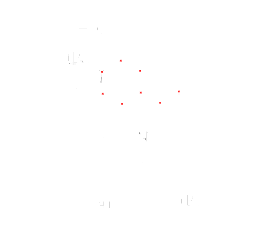 CC1C=Cc2cccc(-c3ccccc3N(c3cc(C(C)(C)C)cc(C(C)(C)C)c3)c3ccccc3-c3ccc(C(C)(C)C)cc3)c2C1C12CC3CC4CC(C1)C432